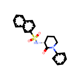 O=C1[C@H](NS(=O)(=O)c2ccc3ccccc3c2)CCCN1c1ccccc1